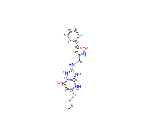 CCCCc1cc(=O)n2nc(NCc3cc(-c4ccccc4)on3)nc2[nH]1